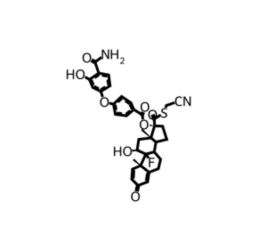 C[C@]12C=CC(=O)C=C1CCC1C3CC[C@](OC(=O)c4ccc(Oc5ccc(C(N)=O)c(O)c5)cc4)(C(=O)SCC#N)[C@@]3(C)C[C@H](O)C12F